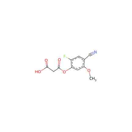 COc1cc(OC(=O)CC(=O)O)c(F)cc1C#N